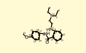 CCN(CC)CCNc1ccccc1C(=O)Nc1ccc(OC)cc1